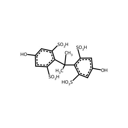 CC(C)(c1c(S(=O)(=O)O)cc(O)cc1S(=O)(=O)O)c1c(S(=O)(=O)O)cc(O)cc1S(=O)(=O)O